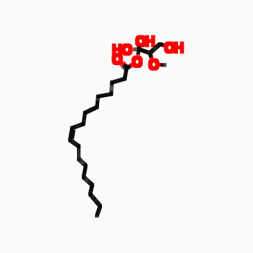 CCCCCCCC/C=C\CCCCCCCC(=O)OC(O)(O)C(CO)OC